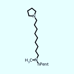 CCCCCN(C)CCCCCCCCCN1CCCC1